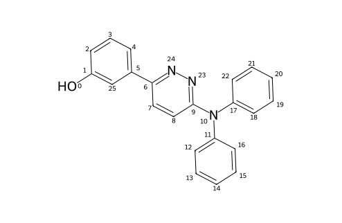 Oc1cccc(-c2ccc(N(c3ccccc3)c3ccccc3)nn2)c1